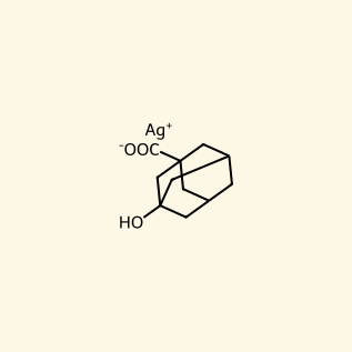 O=C([O-])C12CC3CC(CC(O)(C3)C1)C2.[Ag+]